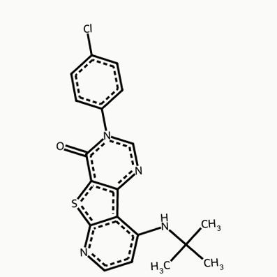 CC(C)(C)Nc1ccnc2sc3c(=O)n(-c4ccc(Cl)cc4)cnc3c12